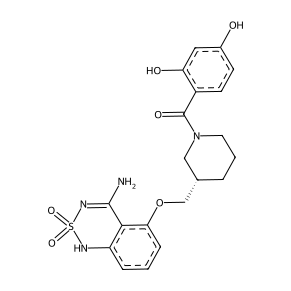 NC1=NS(=O)(=O)Nc2cccc(OC[C@H]3CCCN(C(=O)c4ccc(O)cc4O)C3)c21